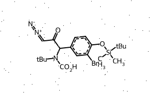 CC(C)(C)N(C(=O)O)C(C(=O)C=[N+]=[N-])c1ccc(O[Si](C)(C)C(C)(C)C)c(Br)c1